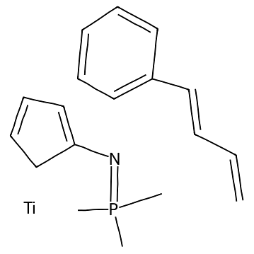 C=CC=Cc1ccccc1.CP(C)(C)=NC1=CC=CC1.[Ti]